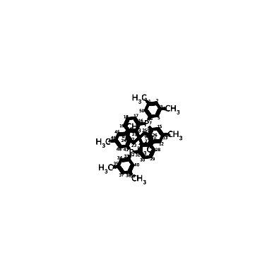 Cc1cc(C)cc(P(c2cc(C)cc(C)c2)c2cccc3c2C2(CC3)CCc3cccc(P(c4cc(C)cc(C)c4)c4cc(C)cc(C)c4)c32)c1